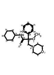 COC(CN1CCOCC1)(C(=S)NC1CCCCC1)c1ccccn1